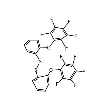 Fc1c(F)c(F)c(Oc2ccccc2SSc2ccccc2Oc2c(F)c(F)c(F)c(F)c2F)c(F)c1F